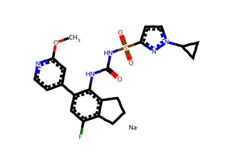 COc1cc(-c2cc(F)c3c(c2NC(=O)NS(=O)(=O)c2ccn(C4CC4)n2)CCC3)ccn1.[Na]